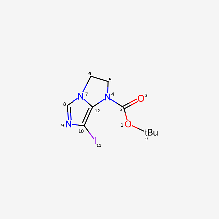 CC(C)(C)OC(=O)N1CCn2cnc(I)c21